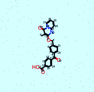 Cc1c(OCc2ccc(C(=O)c3ccc(C(=O)O)cc3)cc2)nc2ccccn2c1=O